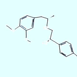 COc1ccc(C[C@@H](C)NC[C@H](O)c2ccc(C)cc2)cc1OC